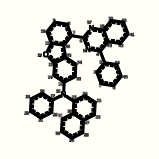 c1ccc(-c2nc(-c3cccc4oc5cc(N(c6ccccc6)c6cccc7ccccc67)ccc5c34)nc3ccccc23)cc1